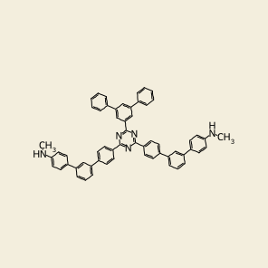 CNc1ccc(-c2cccc(-c3ccc(-c4nc(-c5ccc(-c6cccc(-c7ccc(NC)cc7)c6)cc5)nc(-c5cc(-c6ccccc6)cc(-c6ccccc6)c5)n4)cc3)c2)cc1